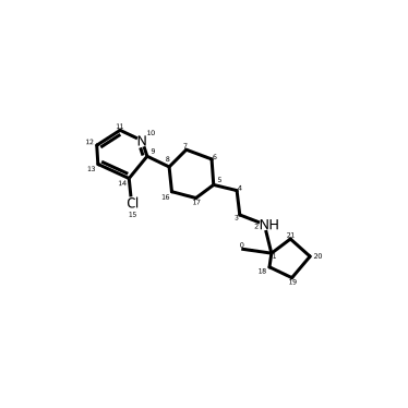 CC1(NCCC2CCC(c3ncccc3Cl)CC2)CCCC1